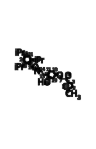 Cc1ccc(C(=O)COc2ccc(CC=NOCc3c(C(C)C)cc(C(C)C)cc3C(C)C)c(O)c2)o1